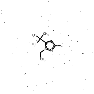 CCn1nc(Cl)cc1C(C)(C)C